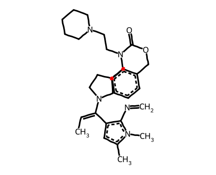 C=Nc1c(/C(=C\C)N2CCC(CN(CCN3CCCCC3)C(=O)OCc3ccccc3)C2)cc(C)n1C